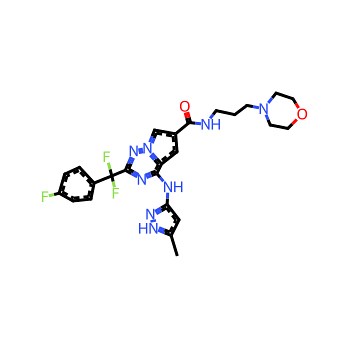 Cc1cc(Nc2nc(C(F)(F)c3ccc(F)cc3)nn3cc(C(=O)NCCCN4CCOCC4)cc23)n[nH]1